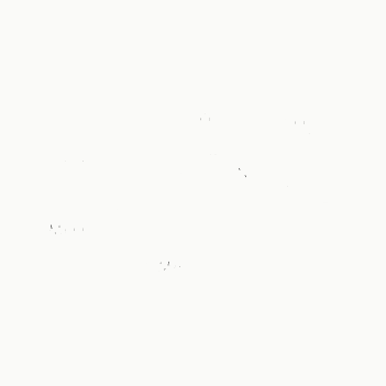 CCCc1cc(C(=O)N2CC(CC)C2C(=O)O)cc(OC)c1OC